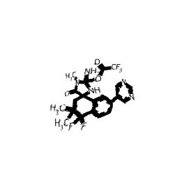 CN1C(=O)C2(CC(C)(C)C(F)(F)c3ccc(-c4cncnc4)cc32)NC1(N)OC(=O)C(F)(F)F